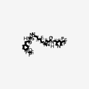 O=C(Cc1cccc(OC(F)(F)F)c1)Nc1nnc(CCC(F)Cn2cc(C(=O)NCc3cncc(C(F)(F)F)c3)nn2)s1